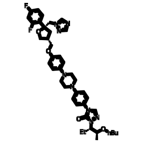 CCCCO[C@@H](C)[C@H](CC)n1ncn(-c2ccc(N3CCN(c4ccc(OC[C@@H]5CO[C@@](Cn6cncn6)(c6ccc(F)cc6F)C5)cc4)CC3)cc2)c1=O